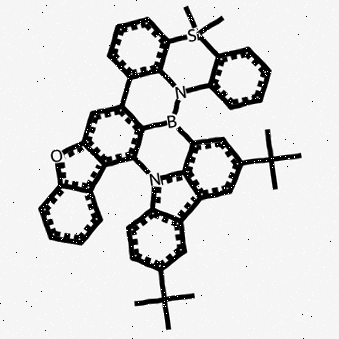 CC(C)(C)c1ccc2c(c1)c1cc(C(C)(C)C)cc3c1n2-c1c2c(cc4oc5ccccc5c14)-c1cccc4c1N(B23)c1ccccc1[Si]4(C)C